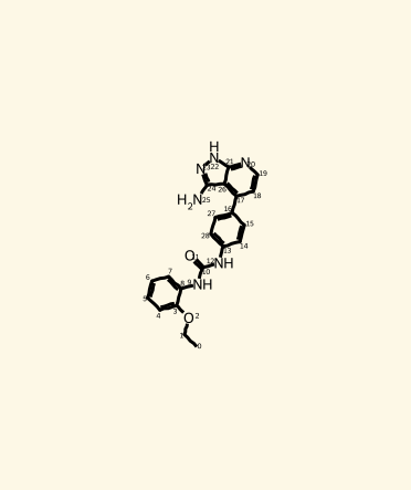 CCOc1ccccc1NC(=O)Nc1ccc(-c2ccnc3[nH]nc(N)c23)cc1